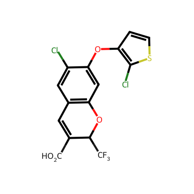 O=C(O)C1=Cc2cc(Cl)c(Oc3ccsc3Cl)cc2OC1C(F)(F)F